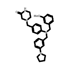 COc1cccc(CN(Cc2cccc(N3CCCC3)c2)c2ccc(CN3CCNC(=O)C3)cc2)c1